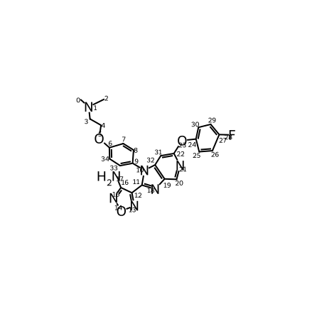 CN(C)CCOc1ccc(-n2c(-c3nonc3N)nc3cnc(Oc4ccc(F)cc4)cc32)cc1